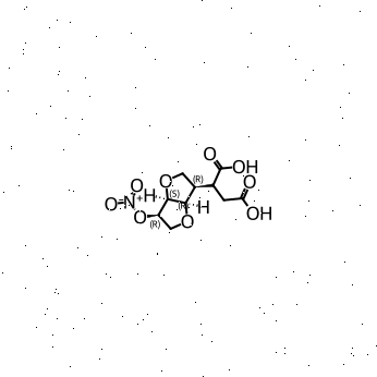 O=C(O)CC(C(=O)O)[C@@H]1CO[C@H]2[C@@H]1OC[C@H]2O[N+](=O)[O-]